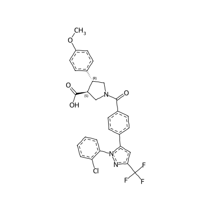 COc1ccc([C@@H]2CN(C(=O)c3ccc(-c4cc(C(F)(F)F)nn4-c4ccccc4Cl)cc3)C[C@H]2C(=O)O)cc1